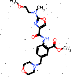 COCCN(C)c1nc(C(=O)Nc2ccc(CN3CCOCC3)cc2C(=O)OC)co1